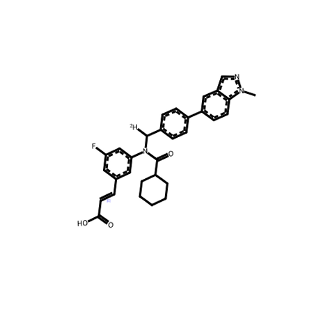 [2H]C(c1ccc(-c2ccc3c(cnn3C)c2)cc1)N(C(=O)C1CCCCC1)c1cc(F)cc(/C=C/C(=O)O)c1